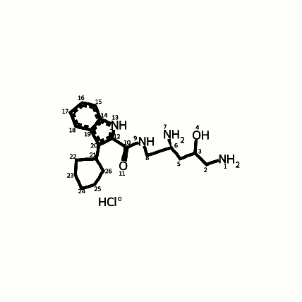 Cl.NCC(O)C[C@H](N)CNC(=O)c1[nH]c2ccccc2c1C1CCCCC1